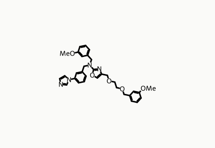 COc1cccc(COCCOCc2coc(N(Cc3cccc(OC)c3)Cc3cccc(-n4ccnc4)c3)n2)c1